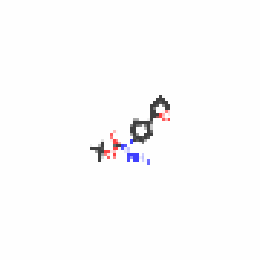 CC(C)(C)OC(=O)N(N)c1ccc(-c2ccco2)cc1